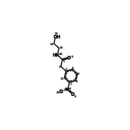 O=C(Cc1cccc([N+](=O)[O-])c1)NCCO